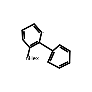 CCCCCCc1ccc[c]c1-c1ccccc1